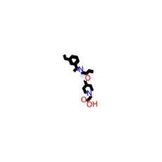 C=C/C(=C\N=C(/C)c1cccc(CC)c1)OCC1CCN(CC(=O)O)CC1